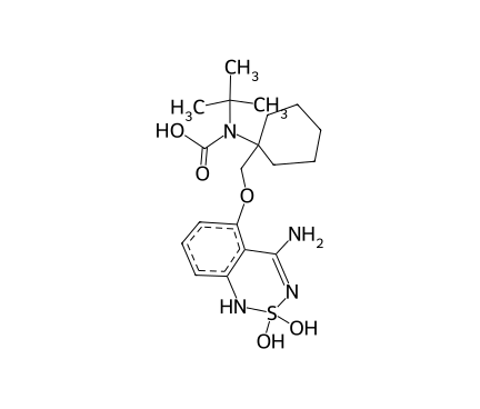 CC(C)(C)N(C(=O)O)C1(COc2cccc3c2C(N)=NS(O)(O)N3)CCCCC1